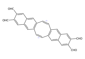 O=Cc1cc2cc3c(cc2cc1C=O)/C=C\c1cc2cc(C=O)c(C=O)cc2cc1/C=C\3